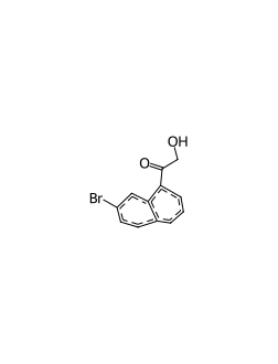 O=C(CO)c1cccc2ccc(Br)cc12